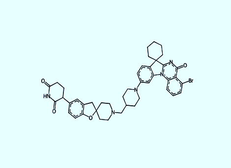 O=C1CCC(c2ccc3c(c2)CC2(CCN(CC4CCN(c5ccc6c(c5)-n5c(nc(=O)c7c(Br)cccc75)C65CCCCC5)CC4)CC2)O3)C(=O)N1